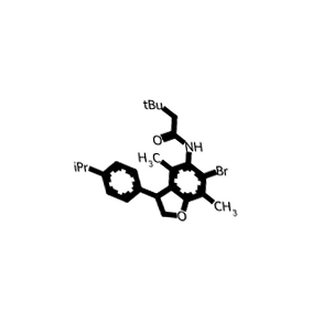 Cc1c(Br)c(NC(=O)CC(C)(C)C)c(C)c2c1OCC2c1ccc(C(C)C)cc1